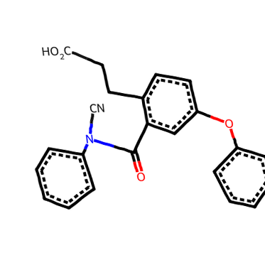 N#CN(C(=O)c1cc(Oc2ccccc2)ccc1CCC(=O)O)c1ccccc1